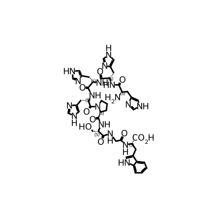 N[C@@H](Cc1c[nH]cn1)C(=O)N[C@@H](Cc1c[nH]cn1)C(=O)N[C@@H](Cc1c[nH]cn1)C(=O)N[C@@H](Cc1c[nH]cn1)C(=O)N1CCC[C@H]1C(=O)N[C@@H](CO)C(=O)NCC(=O)N[C@@H](Cc1c[nH]c2ccccc12)C(=O)O